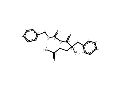 N[C@](CCC(=O)O)(Cc1ccccc1)C(=O)[N]C(=O)OCc1ccccc1